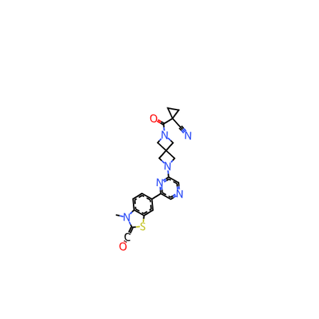 CN1C(=C=O)Sc2cc(-c3cncc(N4CC5(CN(C(=O)C6(C#N)CC6)C5)C4)n3)ccc21